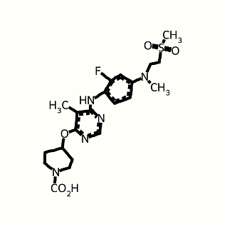 Cc1c(Nc2ccc(N(C)CCS(C)(=O)=O)cc2F)ncnc1OC1CCN(C(=O)O)CC1